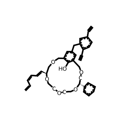 C#Cc1ccc(C#C)c(Cc2cc3c(O)c(c2)COC[C@H](c2ccccc2)OCCOCCO[C@@H](/C=C/C=C\C=C)COC3)c1